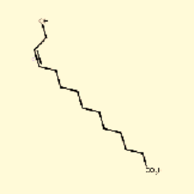 O=C(O)CCCCCCCCC/C=C\CO